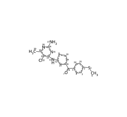 CSc1ccc(C(=O)c2cccc(Nc3nc(N)nc(C)c3Cl)c2)cc1